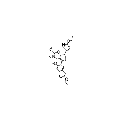 CCOC(=O)Cc1ccc(OC)c(-c2ccc(-c3ccc(OCC)nc3)cc2CN(CC)C(=O)C2CC2)c1